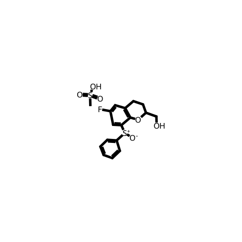 CS(=O)(=O)O.[O-][S+](c1ccccc1)c1cc(F)cc2c1OC(CO)CC2